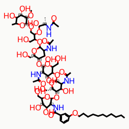 CCCCCCCCCCCOc1cccc(C(=O)N[C@@H]2C(O[C@H]3C(O)C(NC(C)=O)[C@H](OC4C(CO)O[C@@H](O[C@H]5C(O)C(NC(C)=O)C(OC(CO)C(CO[C@@H]6OC(C)C(O)[C@H](O)[C@H]6OC)OC(O)[C@H](C)NC(C)=O)O[C@H]5CO)[C@@H](NC(C)=O)[C@H]4O)O[C@H]3CO)OC(CO)[C@@H](O)C2O)c1